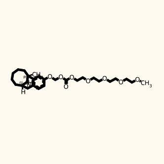 COCCOCCOCCOCCOC(=O)OCOc1ccc2c(c1)[C@@]1(C)CCCCC[C@@H](C2)[C@@H]1N